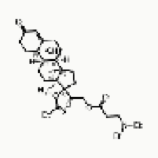 CCC(=S)O[C@]1(C(=O)COC(=O)CCN(CC)CC)CC[C@H]2[C@@H]3CCC4=CC(=O)CC[C@]4(C)[C@H]3CC[C@@]21C